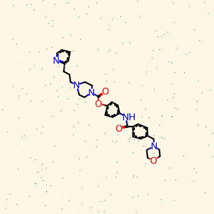 O=C(Nc1ccc(OC(=O)N2CCN(CCCc3ccccn3)CC2)cc1)c1ccc(CN2CCOCC2)cc1